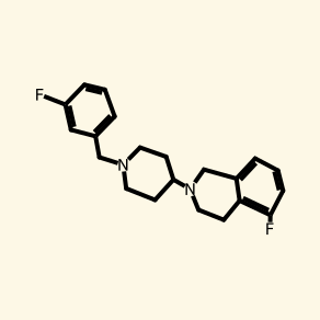 Fc1cccc(CN2CCC(N3CCc4c(F)cccc4C3)CC2)c1